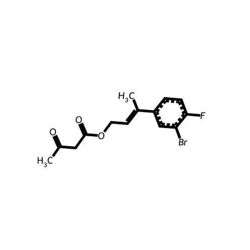 CC(=O)CC(=O)OCC=C(C)c1ccc(F)c(Br)c1